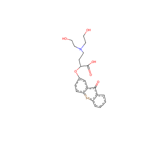 O=C(O)C(CCN(CCO)CCO)Oc1ccc2sc3ccccc3c(=O)c2c1